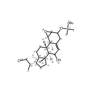 CCCC[Si](C)(C)OC1CC2=CC(O)[C@H]3[C@@H]4CC[C@H](C(C)CCl)[C@@]4(C)CC[C@@H]3[C@@]2(C)C2OC12